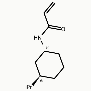 C=CC(=O)N[C@@H]1CCC[C@@H](C(C)C)C1